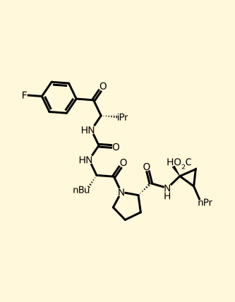 CCCC[C@H](NC(=O)N[C@H](C(=O)c1ccc(F)cc1)C(C)C)C(=O)N1CCC[C@H]1C(=O)N[C@]1(C(=O)O)CC1CCC